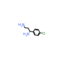 NCC[C@@H](N)c1ccc(Cl)cc1